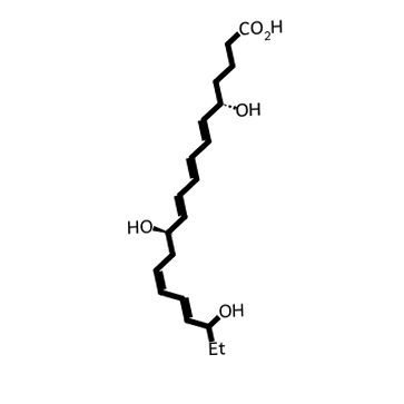 CCC(O)/C=C/C=C\C[C@@H](O)/C=C/C=C/C=C/[C@@H](O)CCCC(=O)O